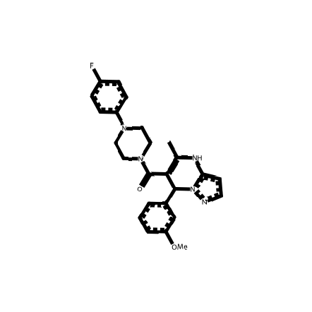 COc1cccc(C2C(C(=O)N3CCN(c4ccc(F)cc4)CC3)=C(C)Nc3ccnn32)c1